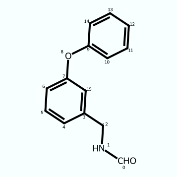 O=CN[CH]c1cccc(Oc2ccccc2)c1